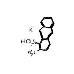 Cc1ccc2cc3ccccc3cc2c1S(=O)(=O)O.[K]